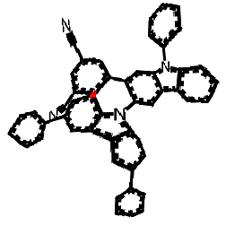 N#Cc1cc(C#N)cc(-c2cc3c(cc2-n2c4ccc(-c5ccccc5)cc4c4cc(-c5ccccc5)ccc42)c2ccccc2n3-c2ccccc2)c1